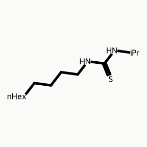 CCCCCCCCCCNC(=S)NC(C)C